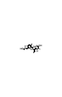 C/C=C(\NC(=O)c1nc(CNCO)ccc1F)C(=O)N[C@@H](C)C(=O)O